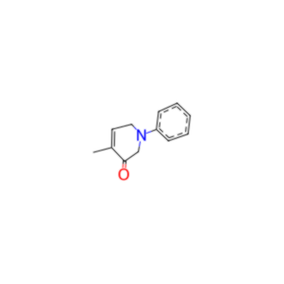 CC1=CCN(c2ccccc2)CC1=O